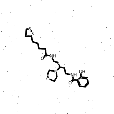 O=C(CCCCC1CCSS1)NCCC(CCNC(=O)c1ccccc1O)N1CCOCC1